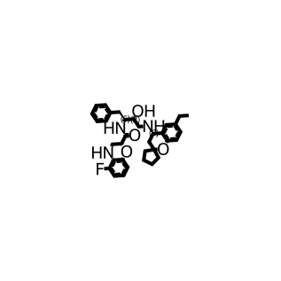 CCc1ccc2c(c1)[C@@H](NC[C@@H](O)[C@H](Cc1ccccc1)NC(=O)C1CNc3c(F)cccc3O1)CC1(CCCC1)O2